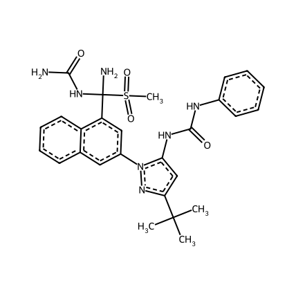 CC(C)(C)c1cc(NC(=O)Nc2ccccc2)n(-c2cc(C(N)(NC(N)=O)S(C)(=O)=O)c3ccccc3c2)n1